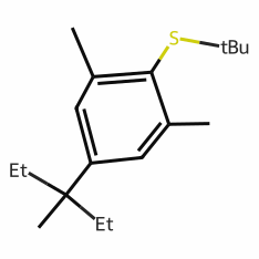 CCC(C)(CC)c1cc(C)c(SC(C)(C)C)c(C)c1